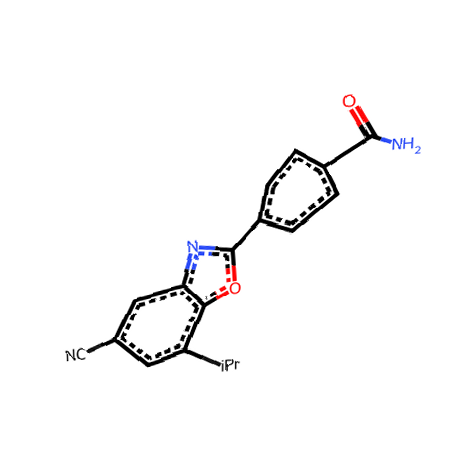 CC(C)c1cc(C#N)cc2nc(-c3ccc(C(N)=O)cc3)oc12